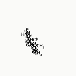 CCc1cc(S(C)(=O)=O)ccc1C(=O)N1CCOc2ccc(-c3ccc4nc(CF)[nH]c4c3)cc2C1.Cl